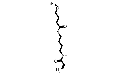 C=CC(=O)NCCCCNC(=O)CCCOC(C)C